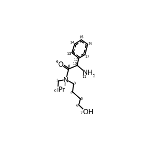 CC(C)CN(CCCCO)C(=O)C(N)c1ccccc1